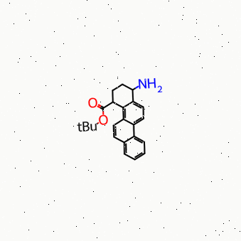 CC(C)(C)OC(=O)C1CCC(N)c2ccc3c(ccc4ccccc43)c21